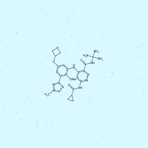 BC(B)(B)NC(=O)c1nnc(NC(=O)C2CC2)cc1Nc1cc(OC2COC2)cc(-c2ncn(C)n2)c1OC